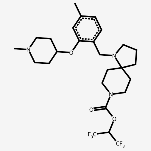 Cc1ccc(CN2CCCC23CCN(C(=O)OC(C(F)(F)F)C(F)(F)F)CC3)c(OC2CCN(C)CC2)c1